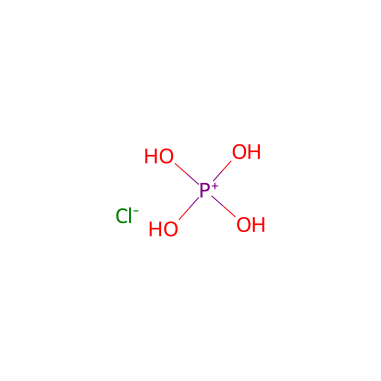 O[P+](O)(O)O.[Cl-]